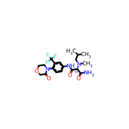 CC(C)CN(C)[C@@H](C(N)=O)C(=O)Nc1ccc(N2CCOCC2=O)c(C(F)(F)F)c1